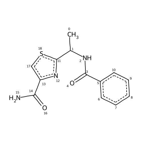 CC(NC(=O)c1ccccc1)c1nc(C(N)=O)cs1